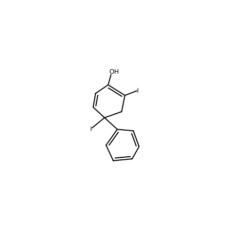 OC1=C(I)CC(I)(c2ccccc2)C=C1